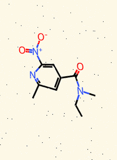 CCN(C)C(=O)c1cc(C)nc([N+](=O)[O-])c1